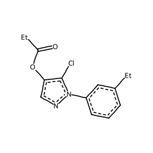 CCC(=O)Oc1cnn(-c2cccc(CC)c2)c1Cl